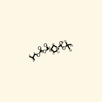 CC(C)COC(=O)OC(=O)[C@H]1CCN(C(=O)OC(C)(C)C)C1